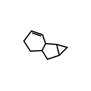 C1=CC2C(CC1)CC1CC12